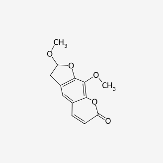 COc1c2c(cc3ccc(=O)oc13)CC(OC)O2